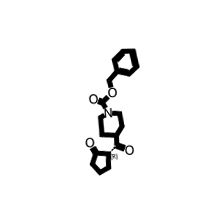 O=C1CCC[C@H]1C(=O)C1CCN(C(=O)OCc2ccccc2)CC1